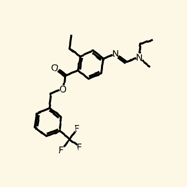 CCc1cc(/N=C/N(C)CC)ccc1C(=O)OCc1cccc(C(F)(F)F)c1